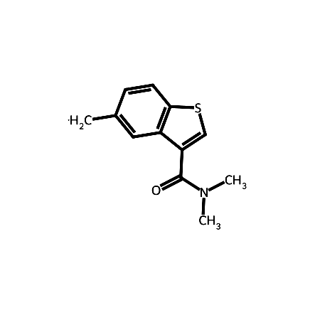 [CH2]c1ccc2scc(C(=O)N(C)C)c2c1